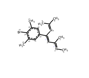 C/N=C(C)/C=C(\N=C(C)C)c1cc(C)c(Br)c(C)c1